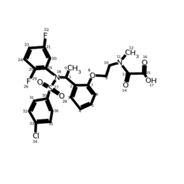 CC(c1ccccc1OCCN(C)C(=O)C(=O)O)N(c1cc(F)ccc1F)S(=O)(=O)c1ccc(Cl)cc1